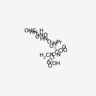 C=C1C2=C(C=C3c4nc5cc6c(cc5c(CCN(C(=O)COCNC(=O)CNC(=O)CNC=O)C(C)C)c4CN13)OCO6)C(O)C(=O)OC2